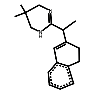 CC(C1=Cc2ccccc2CC1)C1=NCC(C)(C)CN1